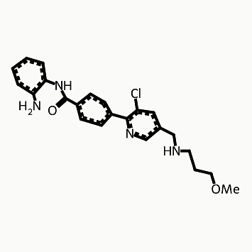 COCCCNCc1cnc(-c2ccc(C(=O)Nc3ccccc3N)cc2)c(Cl)c1